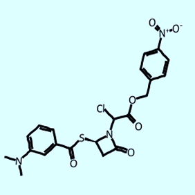 CN(C)c1cccc(C(=O)S[C@@H]2CC(=O)N2C(Cl)C(=O)OCc2ccc([N+](=O)[O-])cc2)c1